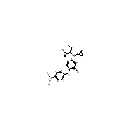 CCC(C(=O)O)N(c1ccc(Oc2ccc([N+](=O)[O-])cn2)c(C)c1)C1CC1